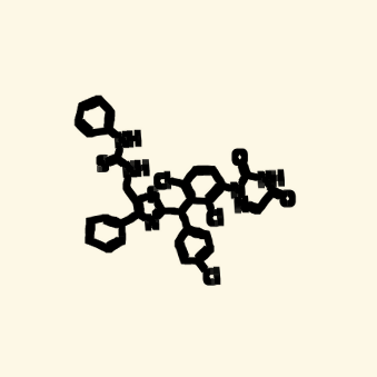 O=c1cnn(-c2ccc(Cl)c(C(c3ccc(Cl)cc3)c3nc(-c4ccccc4)c(CNC(=S)Nc4ccccc4)s3)c2Cl)c(=O)[nH]1